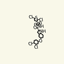 O=C(NS(=O)(=O)c1cc(Cl)sc1Cl)c1cc2cc(Oc3ccc(Cl)c(Cl)c3)ccc2[nH]1